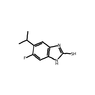 CC(C)c1cc2nc(S)[nH]c2cc1F